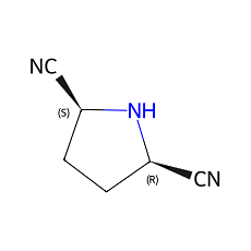 N#C[C@@H]1CC[C@H](C#N)N1